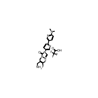 CN(C)c1ccc(-c2ccc(-n3cnn(CC(CN)=C(F)F)c3=O)cn2)cn1.O=C(O)C(F)(F)F